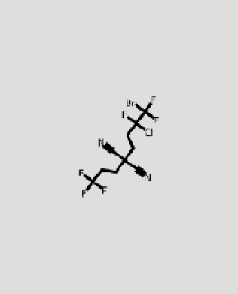 N#CC(C#N)(CCC(F)(F)F)CCC(F)(Cl)C(F)(F)Br